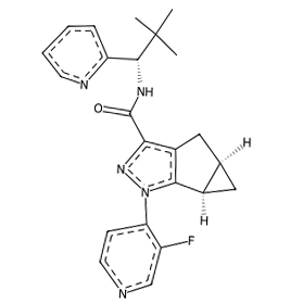 CC(C)(C)[C@H](NC(=O)c1nn(-c2ccncc2F)c2c1C[C@H]1C[C@@H]21)c1ccccn1